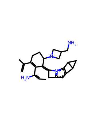 C=C(C)C1=C(/C(N)=C\C)/C(=C2\Cc3cc4c(n32)C2CC42)C(N2CC(CN)C2)CC1